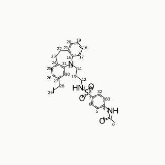 CC(=O)Nc1ccc(S(=O)(=O)NCCCN2c3ccccc3CCc3ccc(CI)cc32)cc1